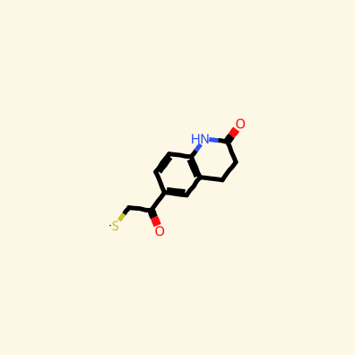 O=C1CCc2cc(C(=O)C[S])ccc2N1